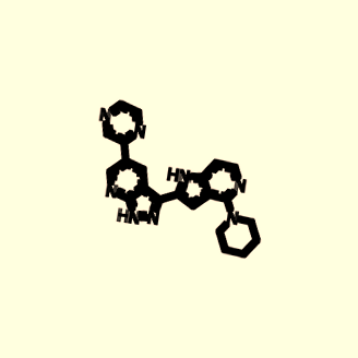 c1cnc(-c2cnc3[nH]nc(-c4cc5c(N6CCCCC6)nccc5[nH]4)c3c2)cn1